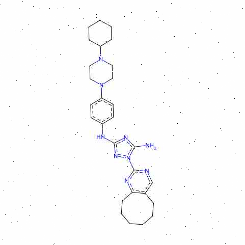 Nc1nc(Nc2ccc(N3CCN(C4CCCCC4)CC3)cc2)nn1-c1ncc2c(n1)CCCCCC2